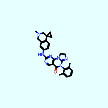 Cc1cccc(C)c1N1C(=O)c2cnc(Nc3ccc4c(c3)CN(C)CC43CC3)nc2N2CCN=C21